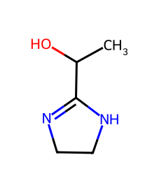 CC(O)C1=NCCN1